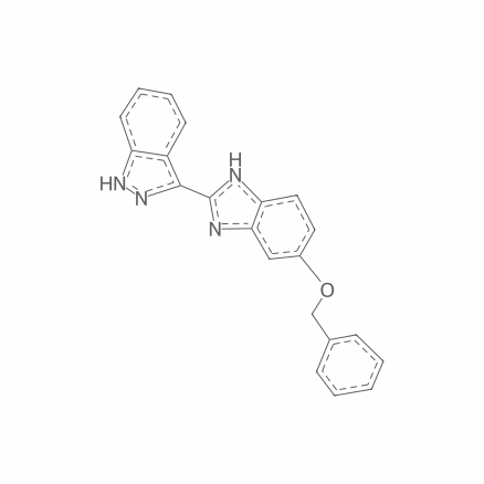 c1ccc(COc2ccc3[nH]c(-c4n[nH]c5ccccc45)nc3c2)cc1